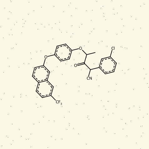 CC(Oc1ccc(Oc2ccc3ccc(C(F)(F)F)cc3c2)cc1)C(=O)C(C#N)c1cccc(Cl)c1